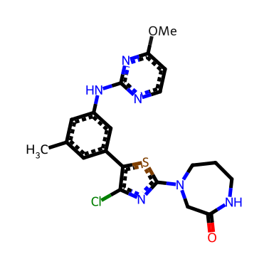 COc1ccnc(Nc2cc(C)cc(-c3sc(N4CCCNC(=O)C4)nc3Cl)c2)n1